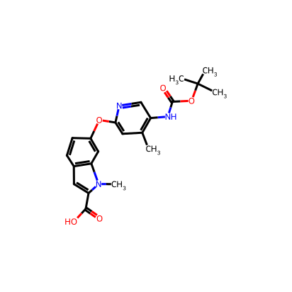 Cc1cc(Oc2ccc3cc(C(=O)O)n(C)c3c2)ncc1NC(=O)OC(C)(C)C